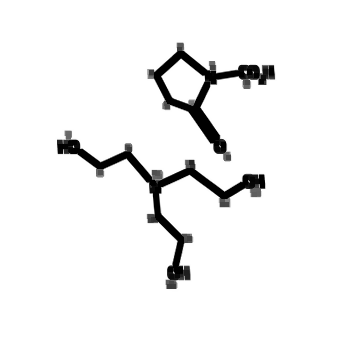 O=C(O)N1CCCC1=O.OCCN(CCO)CCO